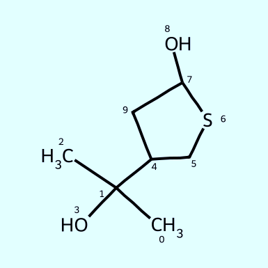 CC(C)(O)C1CSC(O)C1